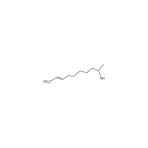 CC(O)CCCCCC=CC(=O)O